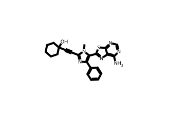 Cn1c(C#CC2(O)CCCCC2)nc(-c2ccccc2)c1-c1nc2c(N)ncnc2s1